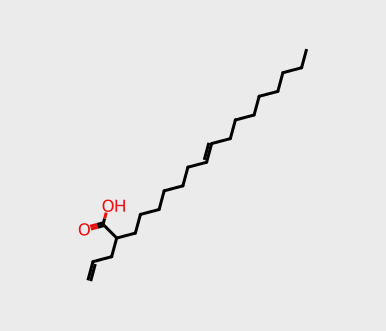 C=CCC(CCCCCCC=CCCCCCCCC)C(=O)O